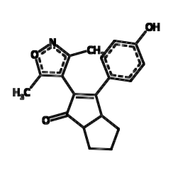 Cc1noc(C)c1C1=C(c2ccc(O)cc2)C2CCCC2C1=O